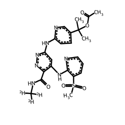 [2H]C([2H])([2H])NC(=O)c1nnc(Nc2ccc(C(C)(C)OC(C)=O)cn2)cc1Nc1ncccc1S(C)(=O)=O